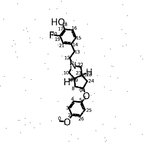 COc1ccc(O[C@H]2C[C@@H]3CN(CCc4ccc(O)c(F)c4)C[C@@H]3C2)cc1